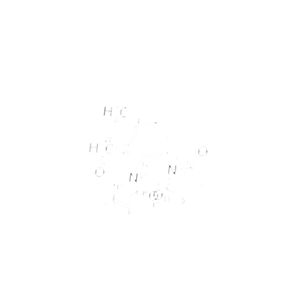 Cc1ccc(N2C(=O)C=CC2=O)c(N2C(=O)C=CC2=O)c1C